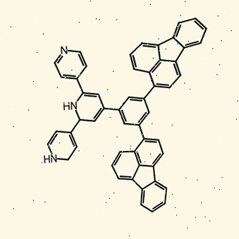 C1=CC(C2C=C(c3cc(-c4ccc5c6c(cccc46)-c4ccccc4-5)cc(-c4ccc5c6c(cccc46)-c4ccccc4-5)c3)C=C(c3ccncc3)N2)=CCN1